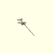 CCCCCCCCCCCCCCCCCCOC(=O)NC(CCC(=O)O)C(=O)O